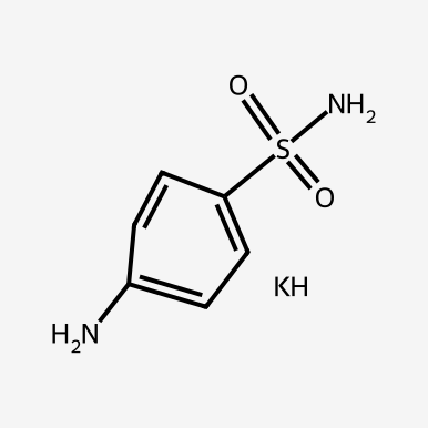 Nc1ccc(S(N)(=O)=O)cc1.[KH]